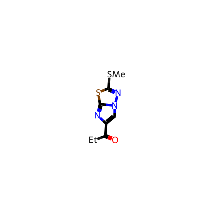 CCC(=O)c1cn2nc(SC)sc2n1